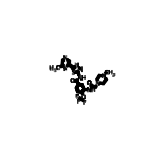 Cc1cncc(-c2nnc(NC(=O)c3ccc(OC(F)(F)F)c(NC(=O)CN4CCN(C)CC4)c3)s2)n1